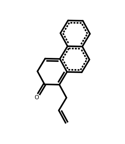 C=CCC1=c2ccc3ccccc3c2=CCC1=O